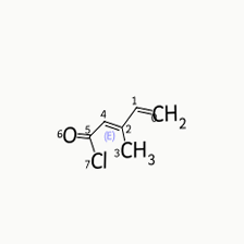 C=C/C(C)=C/C(=O)Cl